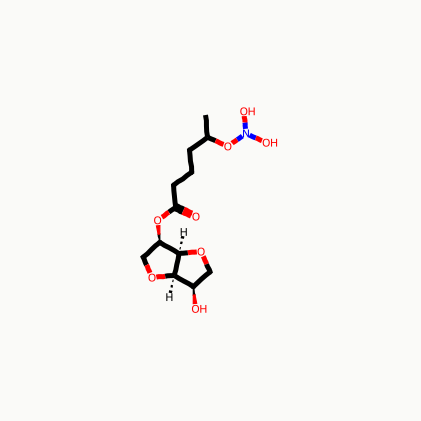 CC(CCCC(=O)O[C@@H]1CO[C@H]2[C@@H]1OC[C@H]2O)ON(O)O